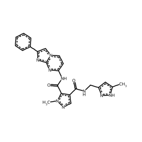 Cc1cc(CNC(=O)c2cnn(C)c2C(=O)Nc2ccn3cc(-c4ccccc4)nc3n2)n[nH]1